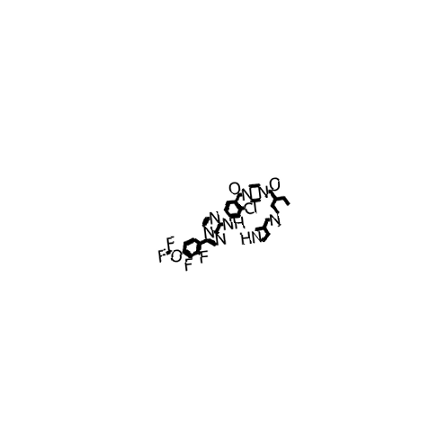 CCC(CCN(C)CC1CCNC1)C(=O)N1CCN(C(=O)c2ccc(Nc3nccn4c(-c5ccc(OC(F)F)c(F)c5F)cnc34)cc2Cl)CC1